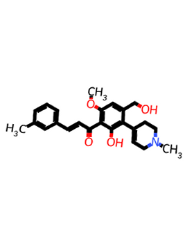 COc1cc(CO)c(C2=CCN(C)CC2)c(O)c1C(=O)/C=C/c1cccc(C)c1